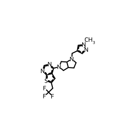 Cn1cc(CN2CCC3CN(c4ncnc5sc(CC(F)(F)F)cc45)CC32)cn1